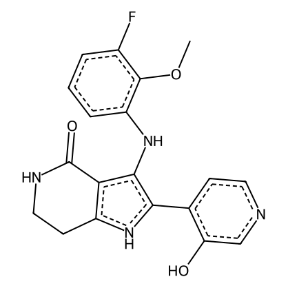 COc1c(F)cccc1Nc1c(-c2ccncc2O)[nH]c2c1C(=O)NCC2